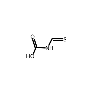 O=C(O)NC=S